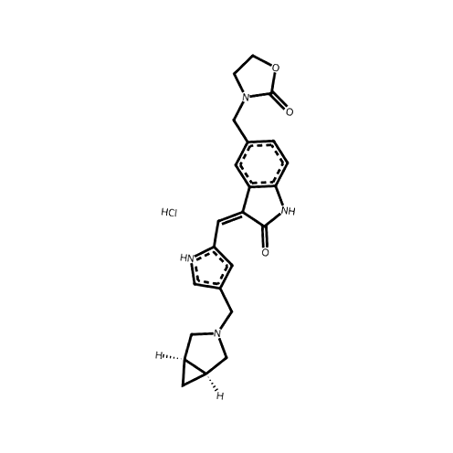 Cl.O=C1Nc2ccc(CN3CCOC3=O)cc2C1=Cc1cc(CN2C[C@H]3C[C@H]3C2)c[nH]1